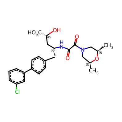 C[C@@H]1CN(C(=O)C(=O)N[C@H](Cc2ccc(-c3cccc(Cl)c3)cc2)C[C@@H](O)C(=O)O)C[C@H](C)O1